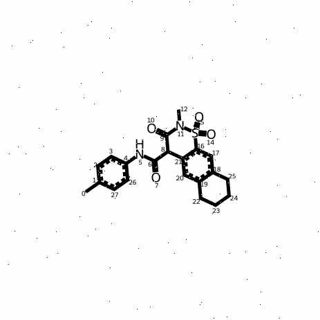 Cc1ccc(NC(=O)C2C(=O)N(C)S(=O)(=O)c3cc4c(cc32)CCCC4)cc1